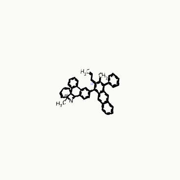 C=C/C=c1/c(-c2ccc3c(c2)-c2ccccc2C24C=CC=C[C@@]2(C)N=C34)c2cc3ccccc3cc2c(-c2ccccc2)c1=C